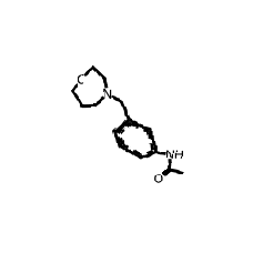 CC(=O)Nc1cccc(CN2CCCCCC2)c1